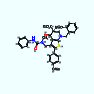 CCOC(=O)c1cn(Cc2ccccc2OC)c2sc(-c3ccc(OC)cc3)c(CN(C)C(=O)Nc3ccccc3)c2c1=O